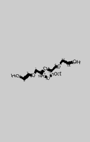 CCCCCCCCOCCC.OCCOCCOCCOCCO